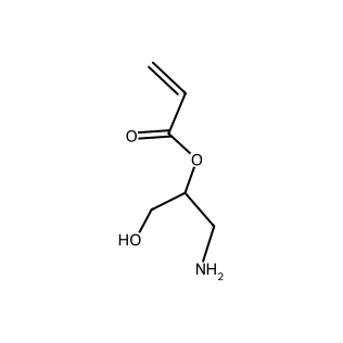 C=CC(=O)OC(CN)CO